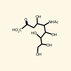 CC(=O)NC(C(O)CC(=O)C(=O)O)C(O)C(O)C(O)CO